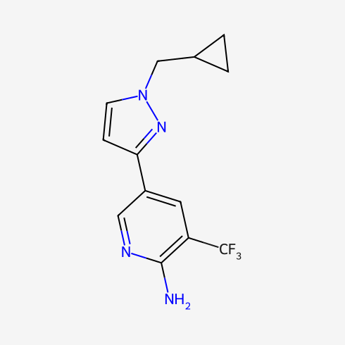 Nc1ncc(-c2ccn(CC3CC3)n2)cc1C(F)(F)F